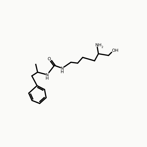 CC(Cc1ccccc1)NC(=O)NCCCCC(N)CO